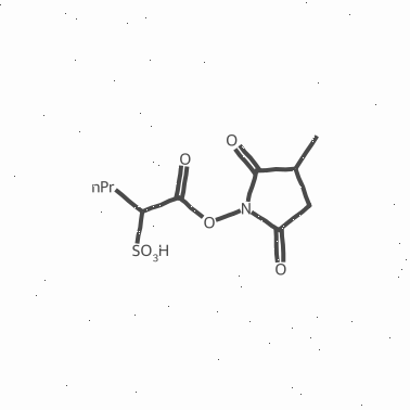 CCCC(C(=O)ON1C(=O)CC(C)C1=O)S(=O)(=O)O